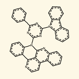 c1ccc(-c2nc(N3c4ccccc4-c4nccc5c4c3nc3ccccc35)nc(-n3c4ccccc4c4ccccc43)n2)cc1